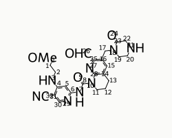 COCCNc1cc(NC(=O)N2CCCc3cc(CN4CCNCC4=O)c(C=O)nc32)ncc1C#N